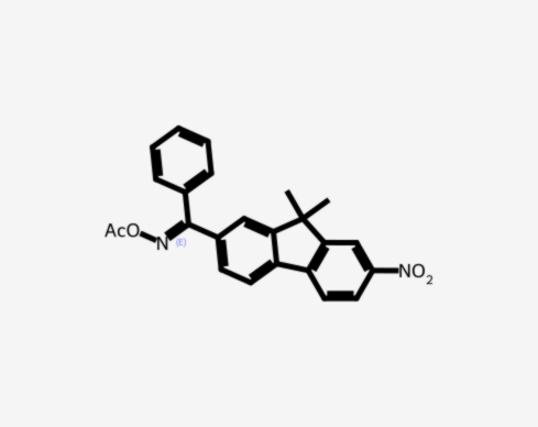 CC(=O)O/N=C(\c1ccccc1)c1ccc2c(c1)C(C)(C)c1cc([N+](=O)[O-])ccc1-2